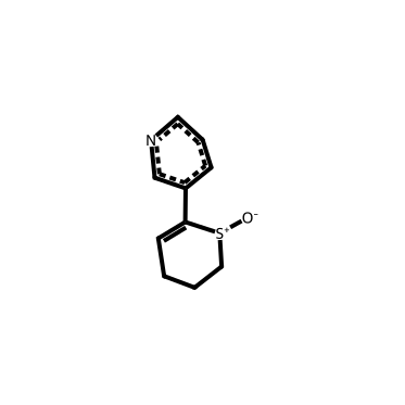 [O-][S+]1CCCC=C1c1cccnc1